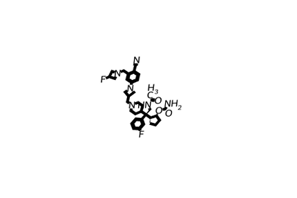 CC(=O)NC[C@@](c1cccc(F)c1)(C1CCN(CC2CN(c3ccc(C#N)c(CN4CC(F)C4)c3)C2)CC1)[C@H]1CCC[C@@H]1OC(N)=O